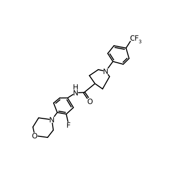 O=C(Nc1ccc(N2CCOCC2)c(F)c1)C1CCN(c2ccc(C(F)(F)F)cc2)CC1